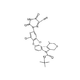 CC1COCc2c1c1cc(Oc3c(Cl)cc(-n4nc(C#N)c(=O)[nH]c4=O)cc3Cl)ccc1n2C(=O)OC(C)(C)C